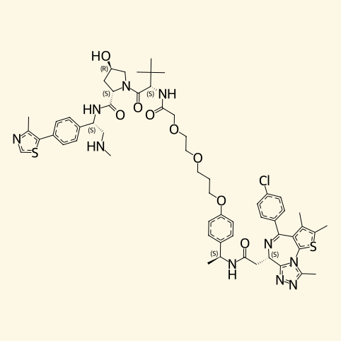 CNC[C@@H](NC(=O)[C@@H]1C[C@@H](O)CN1C(=O)[C@@H](NC(=O)COCCOCCCOc1ccc([C@H](C)NC(=O)C[C@@H]2N=C(c3ccc(Cl)cc3)c3c(sc(C)c3C)-n3c(C)nnc32)cc1)C(C)(C)C)c1ccc(-c2scnc2C)cc1